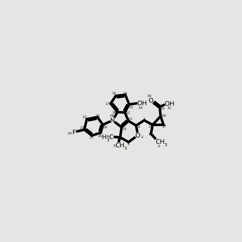 CCC1(CC2OCC(C)(C)c3c2c2c(O)cccc2n3-c2ccc(F)cc2)CC1C(=O)O